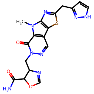 Cn1c2nc(Cc3cc[nH]n3)sc2c2cnn(CC3N=COC3C(N)=O)c(=O)c21